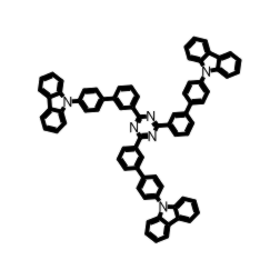 c1cc(-c2ccc(-n3c4ccccc4c4ccccc43)cc2)cc(-c2nc(-c3cccc(-c4ccc(-n5c6ccccc6c6ccccc65)cc4)c3)nc(-c3cccc(-c4ccc(-n5c6ccccc6c6ccccc65)cc4)c3)n2)c1